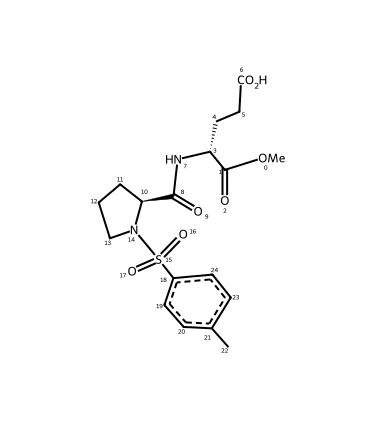 COC(=O)[C@@H](CCC(=O)O)NC(=O)[C@@H]1CCCN1S(=O)(=O)c1ccc(C)cc1